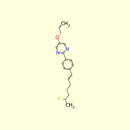 C=CCOc1cnc(-c2ccc(C=CCCCC(C)F)cc2)nc1